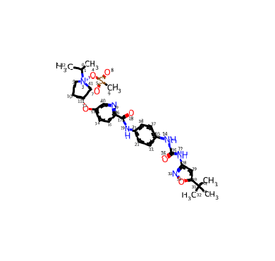 CC(C)[N+]1(OS(C)(=O)=O)CC[C@@H](Oc2ccc(C(=O)Nc3ccc(NC(=O)Nc4cc(C(C)(C)C)on4)cc3)nc2)C1